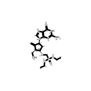 C=C1[C@H](CO)[C@@H](OCP(=O)(OCC)OCC)C[C@@H]1n1cnc2c(=O)[nH]c(N)nc21